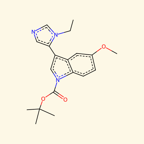 CCn1cncc1-c1cn(C(=O)OC(C)(C)C)c2ccc(OC)cc12